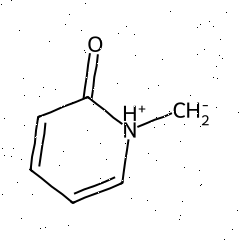 [CH2-][NH+]1C=CC=CC1=O